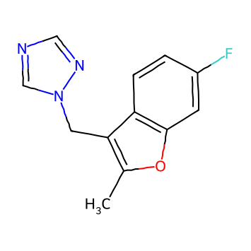 Cc1oc2cc(F)ccc2c1Cn1cncn1